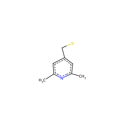 Cc1cc(C[S])cc(C)n1